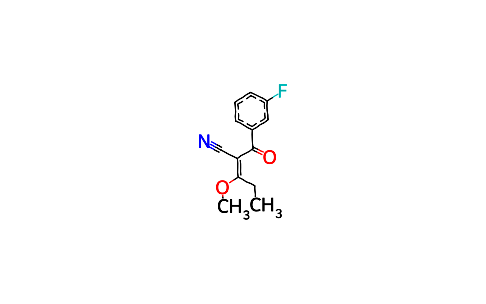 CC/C(OC)=C(/C#N)C(=O)c1cccc(F)c1